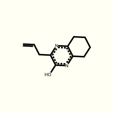 C=CCc1nc2c(nc1O)CCCC2